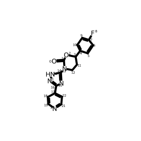 O=C1OC(c2ccc(F)cc2)CCN1c1nc(-c2ccncc2)n[nH]1